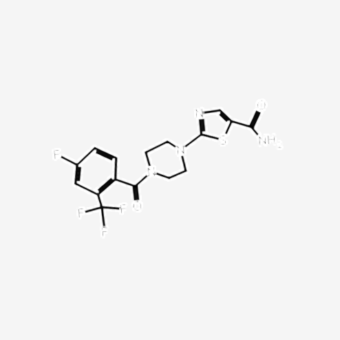 NC(=O)c1cnc(N2CCN(C(=O)c3ccc(F)cc3C(F)(F)F)CC2)s1